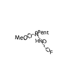 CCCCCN(CCCNC(=O)C/C=C/c1ccc(F)cc1)CCc1ccc(OC)cc1